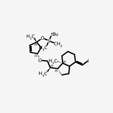 C[C@@H](CO[C@@H]1C=C[C@](C)(O[Si](C)(C)C(C)(C)C)C1)[C@H]1CCC2C(=CI)CCC[C@@]21C